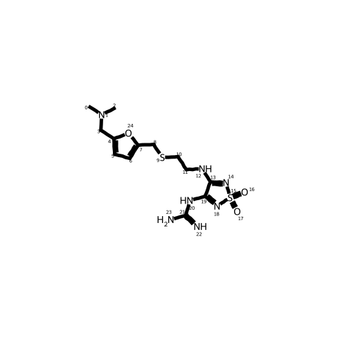 CN(C)Cc1ccc(CSCCNC2=NS(=O)(=O)N=C2NC(=N)N)o1